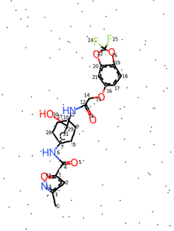 Cc1cc(C(=O)NC23CCC(NC(=O)COc4ccc5c(c4)OC(F)(F)O5)(CC2)C(O)C3)on1